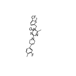 Cc1ccc(C2=CCN(c3nc(C)n(Cc4ccc(C(F)(F)F)s4)c(=O)n3)CC2)cc1F